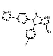 CC(C)(C)c1n[nH]c2c1C(c1ccc(F)cc1)N(c1ccc(-c3ccon3)cc1)C2=O